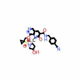 Cn1c(=O)c(C(=O)NCc2ccc(C#N)cc2)cc2cnnc(OCC3(S(=O)(=O)N4CC[C@@H](O)C4)CC3)c21